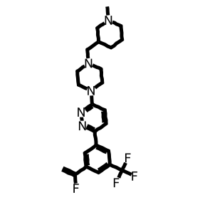 C=C(F)c1cc(-c2ccc(N3CCN(CC4CCCN(C)C4)CC3)nn2)cc(C(F)(F)F)c1